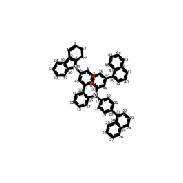 C1=Cc2c(n(-c3cccc(-c4ccccc4N(c4ccc(-c5cccc6ccccc56)cc4)c4cccc(-c5cccc6ccccc56)c4)c3)c3ccccc23)CC1